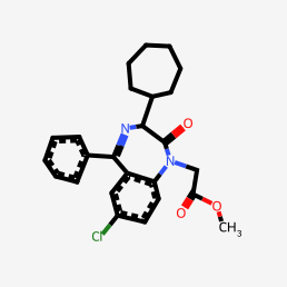 COC(=O)CN1C(=O)C(C2CCCCCC2)N=C(c2ccccc2)c2cc(Cl)ccc21